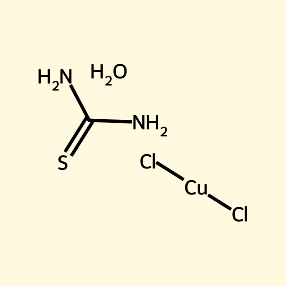 NC(N)=S.O.[Cl][Cu][Cl]